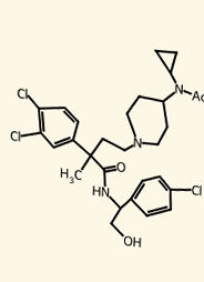 CC(=O)N(C1CC1)C1CCN(CCC(C)(C(=O)NC(CO)c2ccc(Cl)cc2)c2ccc(Cl)c(Cl)c2)CC1